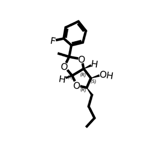 CCCC[C@H]1O[C@@H]2OC(C)(c3ccccc3F)O[C@@H]2[C@H]1O